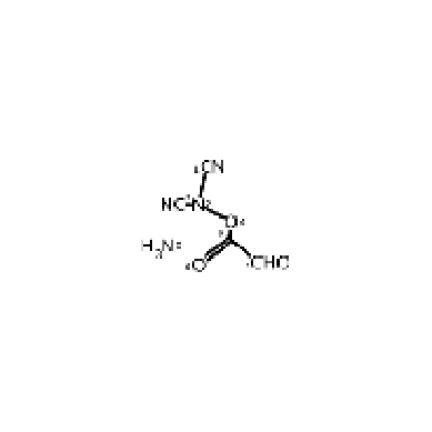 N.N#CN(C#N)OC(=O)C=O